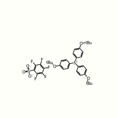 CC(C)(C)Oc1ccc([S+](c2ccc(OC(C)(C)C)cc2)c2ccc(OC(C)(C)C)cc2)cc1.O=S(=O)([O-])c1c(F)c(F)c(F)c(F)c1F